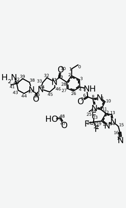 CCc1cc(NC(=O)c2ncc(-c3cn(CC#N)nc3C(F)(F)F)n2C)ccc1C(=O)N1CCN(C(=O)N2CCC(C)(N)CC2)CC1.O=CO